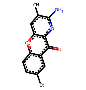 CCc1ccc2oc3cc(C#N)c(N)nc3c(=O)c2c1